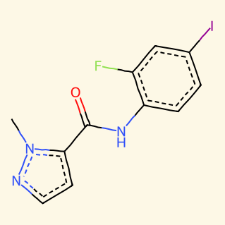 Cn1nccc1C(=O)Nc1ccc(I)cc1F